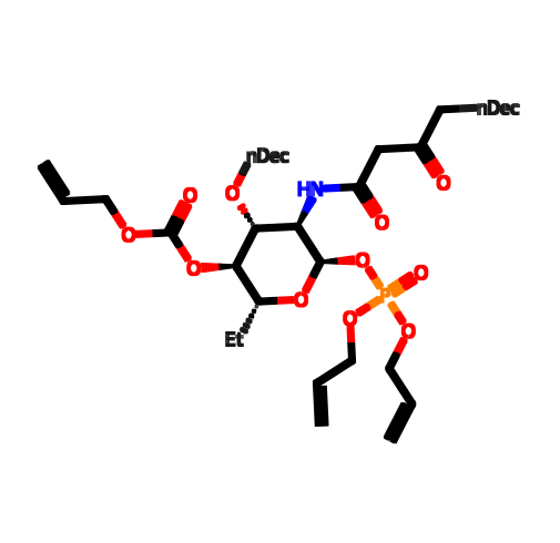 C=CCOC(=O)O[C@H]1[C@H](OCCCCCCCCCC)[C@@H](NC(=O)CC(=O)CCCCCCCCCCC)[C@@H](OP(=O)(OCC=C)OCC=C)O[C@@H]1CC